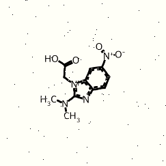 CN(C)c1nc2ccc([N+](=O)[O-])cc2n1CC(=O)O